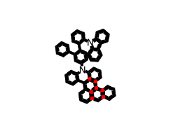 c1ccc(-c2cccc(N(c3ccc(-c4ccccc4-n4c5ccccc5c5ccccc54)c(-c4ccccc4)c3)c3ccccc3-c3ccc(-c4ccccc4)c4ccccc34)c2)cc1